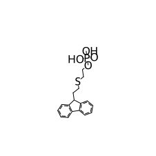 O=P(O)(O)OCCSCCC1c2ccccc2-c2ccccc21